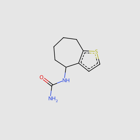 NC(=O)NC1CCCCc2sccc21